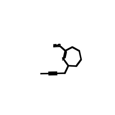 CC#CCC1CCCCC(OC)=N1